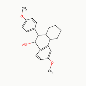 COc1ccc(C2C(O)c3ccc(OC)cc3C3CCCCC32)cc1